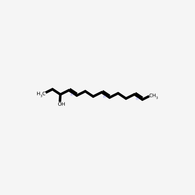 C/C=C/CC/C=C/CC/C=C/C(O)CC